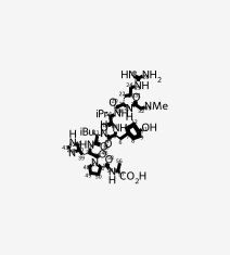 CC[C@H](C)[C@H](NC(=O)[C@H](Cc1ccc(O)cc1)NC(=O)[C@@H](NC(=O)[C@H](CCCNC(=N)N)NC(=O)CNC)C(C)C)C(=O)N[C@@H](CC1CNC=N1)C(=O)N1CCC[C@H]1C(=O)N[C@@H](C)C(=O)O